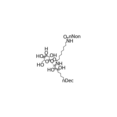 CCCCCCCCCCCCCC[C@@H](O)[C@@H](O)[C@H](CO[C@H]1OC(CO)[C@H](O)[C@H](O)C1O)NC(=O)CCCCCCCCNC(=O)CCCCCCCCC